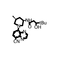 C[C@H]1C[C@@H](NC(=O)CC(O)C(C)(C)C)CN(c2ccc(C#N)c3nccnc23)C1